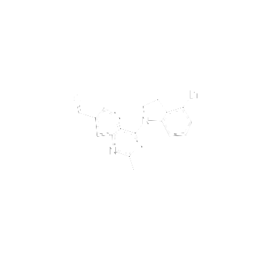 Cc1nc(N2CCc3c(Br)cccc32)c2ncc(C=O)cc2n1